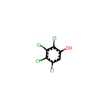 Oc1cc(Cl)c(Cl)c(Cl)c1Cl